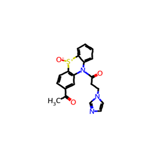 CC(=O)c1ccc2c(c1)N(C(=O)CCn1ccnc1)c1ccccc1[S+]2[O-]